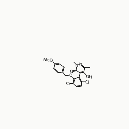 COc1ccc(COc2c(Cl)ccc(Cl)c2-c2c(O)c(C)nn(C)c2=O)cc1